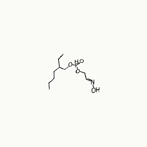 CCCCC(CC)CO[PH](=O)OCC=NO